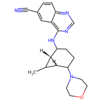 CC1[C@@H]2C(Nc3ncnc4ccc(C#N)cc34)CCC(N3CCOCC3)[C@H]12